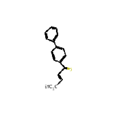 CCOC(=O)C=CC(=S)c1ccc(-c2ccccc2)cc1